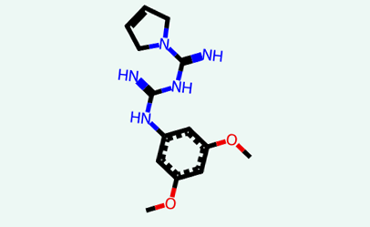 COc1cc(NC(=N)NC(=N)N2CC=CC2)cc(OC)c1